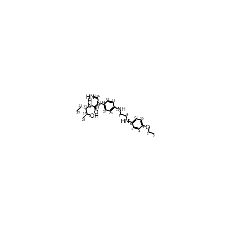 CCOc1ccc(NCCNc2ccc(N(C=N)C(=O)N[C@@H](CC)[C@H](C)O)cc2)cc1